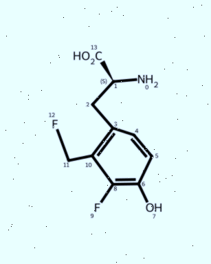 N[C@@H](Cc1ccc(O)c(F)c1CF)C(=O)O